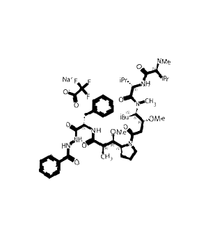 CC[C@H](C)[C@@H]([C@@H](CC(=O)N1CCC[C@H]1[C@H](OC)[C@@H](C)C(=O)N[C@@H](Cc1ccccc1)C(=O)NNC(=O)c1ccccc1)OC)N(C)C(=O)[C@@H](NC(=O)[C@@H](NC)C(C)C)C(C)C.O=C([O-])C(F)(F)F.[Na+]